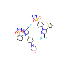 Cc1csc(-c2cc(C(F)F)nn2-c2ccc(S(N)(=O)=O)cc2)c1.NS(=O)(=O)c1ccccc1-n1nc(C(F)F)cc1-c1ccc(N2CCOCC2)cc1